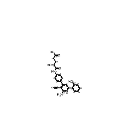 N#Cc1c(-c2ccc(NC(=O)C(O)CCC(=O)O)cc2)cc(-c2ccccc2O)nc1N